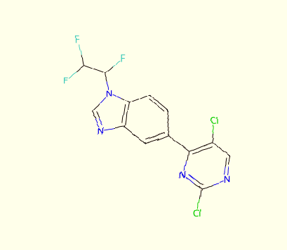 FC(F)C(F)n1cnc2cc(-c3nc(Cl)ncc3Cl)ccc21